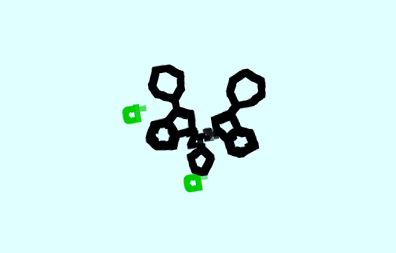 C1=C(C2CCCCCC2)c2ccccc2[CH]1[Zr+2](=[C]1CCCC1)[CH]1C=C(C2CCCCCC2)c2ccccc21.[Cl-].[Cl-]